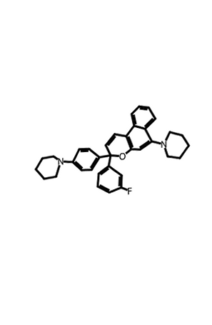 Fc1cccc(C2(c3ccc(N4CCCCC4)cc3)C=Cc3c(cc(N4CCCCC4)c4ccccc34)O2)c1